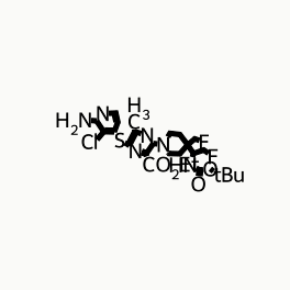 CCOC(=O)c1nc(Sc2ccnc(N)c2Cl)c(C)nc1N1CCC(CF)(C(CF)NC(=O)OC(C)(C)C)CC1